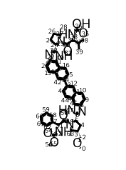 COC[C@H]1C[C@@H](c2nc3ccc4cc(-c5ccc6c(ccc7nc([C@@H]8CC[C@H](C)N8C(=O)[C@@H](NC(=O)O)C(C)C)[nH]c76)c5)ccc4c3[nH]2)N(C(=O)[C@H](NC(=O)OC)c2ccccc2)C1